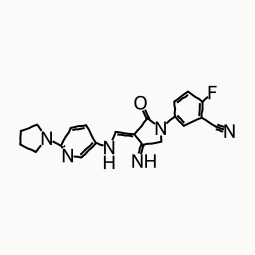 N#Cc1cc(N2CC(=N)/C(=C\Nc3ccc(N4CCCC4)nc3)C2=O)ccc1F